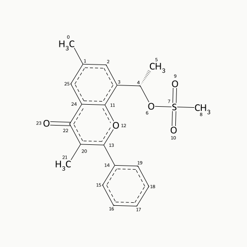 Cc1cc([C@H](C)OS(C)(=O)=O)c2oc(-c3ccccc3)c(C)c(=O)c2c1